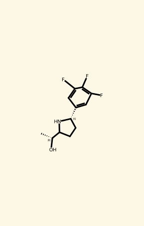 C[C@@H](O)C1CC[C@@H](c2cc(F)c(F)c(F)c2)N1